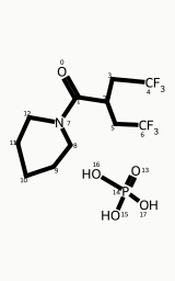 O=C(C(CC(F)(F)F)CC(F)(F)F)N1CCCCC1.O=P(O)(O)O